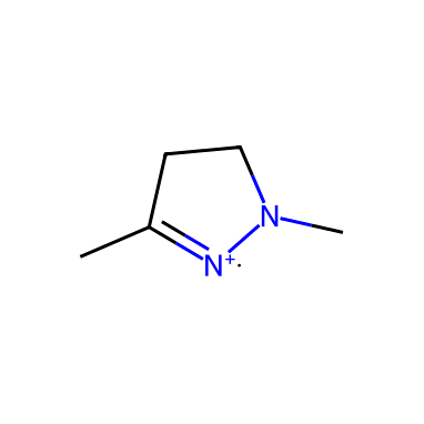 CC1=[N+]N(C)CC1